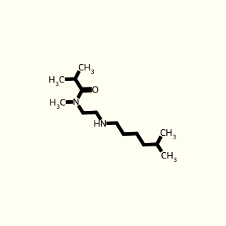 CC(C)CCCCNCCN(C)C(=O)C(C)C